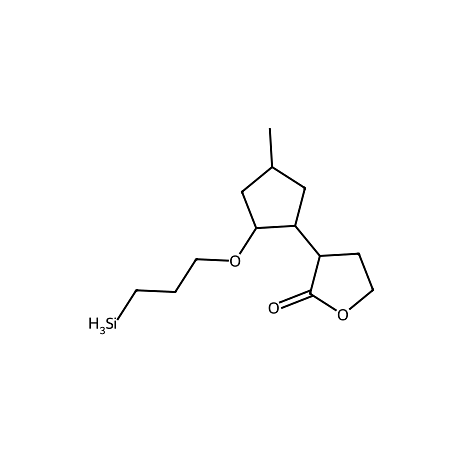 CC1CC(OCCC[SiH3])C(C2CCOC2=O)C1